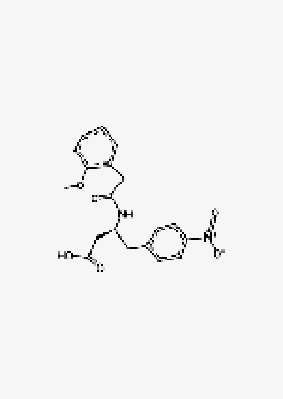 COc1ccccc1CC(=O)N[C@H](CC(=O)O)Cc1ccc([N+](=O)[O-])cc1